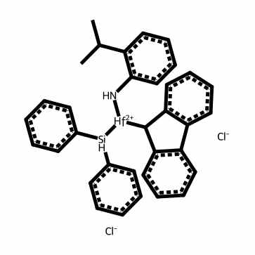 CC(C)c1ccccc1[NH][Hf+2]([CH]1c2ccccc2-c2ccccc21)[SiH](c1ccccc1)c1ccccc1.[Cl-].[Cl-]